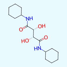 O=C(NC1CCCCC1)[C@H](O)[C@@H](O)C(=O)NC1CCCCC1